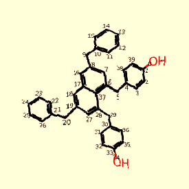 Oc1ccc(Cc2cc(Cc3ccccc3)cc3cc(Cc4ccccc4)cc(Cc4ccc(O)cc4)c23)cc1